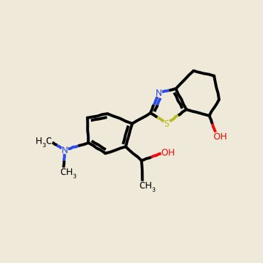 CC(O)c1cc(N(C)C)ccc1-c1nc2c(s1)C(O)CCC2